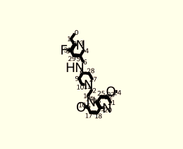 CCc1ncc(CNC2CCN(CCn3c(=O)ccc4ncc(OC)cc43)CC2)cc1F